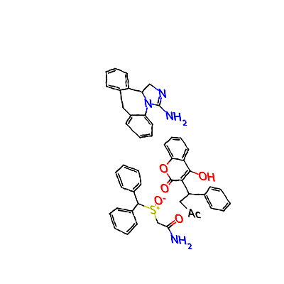 CC(=O)CC(c1ccccc1)c1c(O)c2ccccc2oc1=O.NC(=O)C[S+]([O-])C(c1ccccc1)c1ccccc1.NC1=NCC2c3ccccc3Cc3ccccc3N12